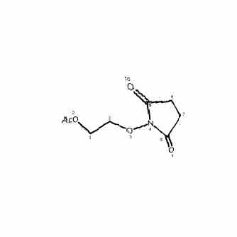 CC(=O)OCCON1C(=O)CCC1=O